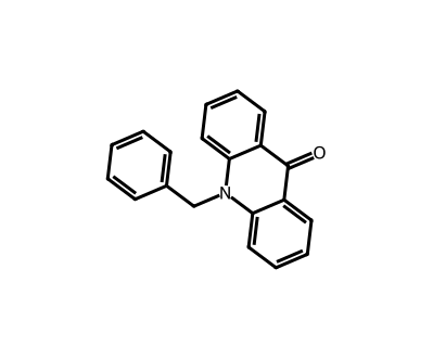 O=c1c2ccccc2n(Cc2ccccc2)c2ccccc12